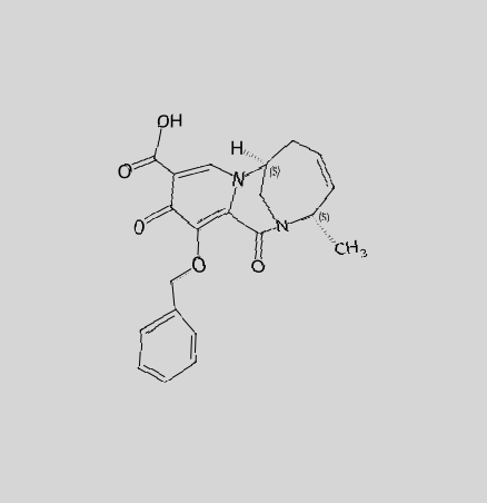 C[C@H]1C=CC[C@H]2CN1C(=O)c1c(OCc3ccccc3)c(=O)c(C(=O)O)cn12